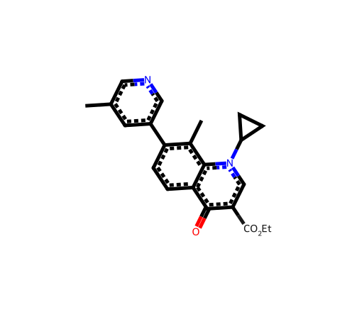 CCOC(=O)c1cn(C2CC2)c2c(C)c(-c3cncc(C)c3)ccc2c1=O